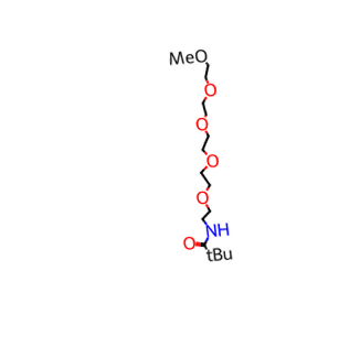 COCCOCCOCCOCCOCCNC(=O)C(C)(C)C